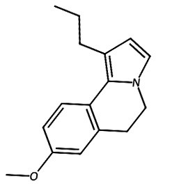 CCCc1ccn2c1-c1ccc(OC)cc1CC2